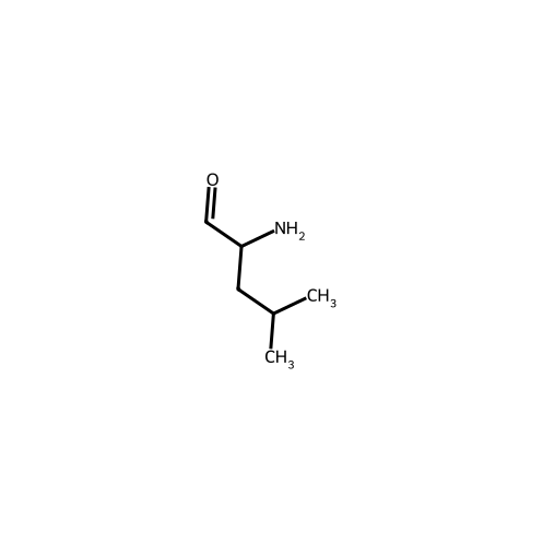 CC(C)CC(N)C=O